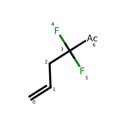 C=CCC(F)(F)C(C)=O